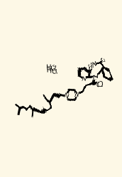 CC(C)=CCCC(C)=CCCC(C)=CCN1CCN(CCC(=O)N2c3ccccc3C(=O)Nc3cccnc32)CC1.Cl.Cl